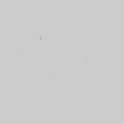 O=C(c1cnc[nH]1)C(O)C1CCCCN1